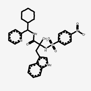 CC(Cc1c[nH]c2ccccc12)(NS(=O)(=O)c1ccc([N+](=O)[O-])cc1)C(=O)NC(c1ccccn1)C1CCCCC1